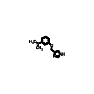 CN(C)c1cccc(OCc2c[nH]cn2)c1